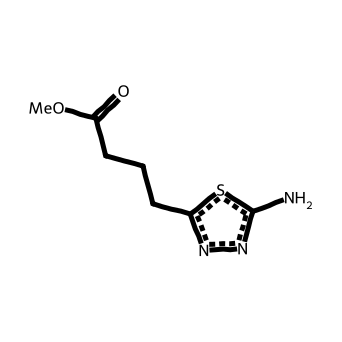 COC(=O)CCCc1nnc(N)s1